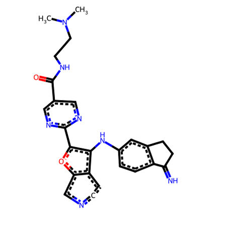 CN(C)CCNC(=O)c1cnc(-c2oc3cnccc3c2Nc2ccc3c(c2)CCC3=N)nc1